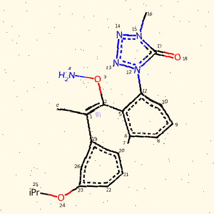 C/C(=C(\ON)c1c(C)cccc1-n1nnn(C)c1=O)c1cccc(OC(C)C)c1